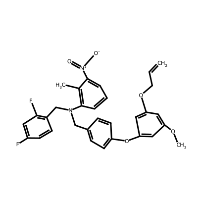 C=CCOc1cc(OC)cc(Oc2ccc(CN(Cc3ccc(F)cc3F)c3cccc([N+](=O)[O-])c3C)cc2)c1